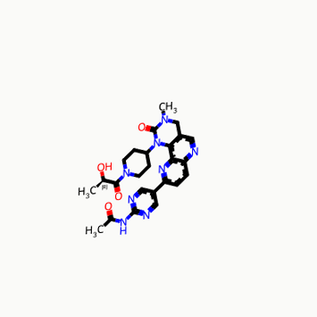 CC(=O)Nc1ncc(-c2ccc3ncc4c(c3n2)N(C2CCN(C(=O)[C@@H](C)O)CC2)C(=O)N(C)C4)cn1